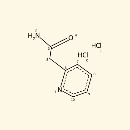 Cl.Cl.NC(=O)Cc1ccccn1